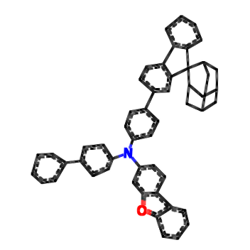 c1ccc(-c2ccc(N(c3ccc(-c4ccc5c(c4)C4(c6ccccc6-5)C5CC6CC(C5)CC4C6)cc3)c3ccc4c(c3)oc3ccccc34)cc2)cc1